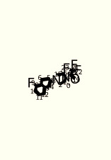 C[C@@H]1CN(c2ccc3c(F)cccc3c2)CCN1C(=O)C(F)(F)F